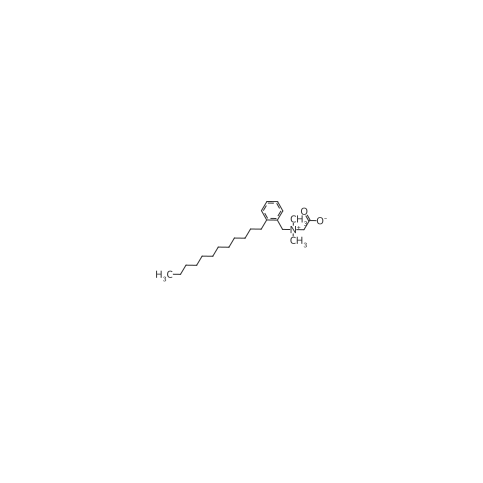 CCCCCCCCCCCCc1ccccc1C[N+](C)(C)CC(=O)[O-]